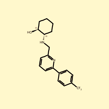 O[C@H]1CCCC[C@@H]1NCc1cccc(-c2ccc(C(F)(F)F)cc2)n1